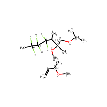 C=C[SiH](C)O[SiH3].CC(C(F)(F)C(F)(F)C(F)(F)C(F)(F)F)[Si](C)(O[SiH3])[SiH2]O[SiH](C)C